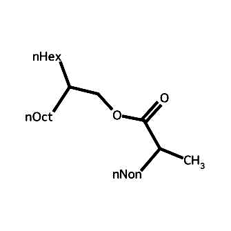 CCCCCCCCCC(C)C(=O)OCC(CCCCCC)CCCCCCCC